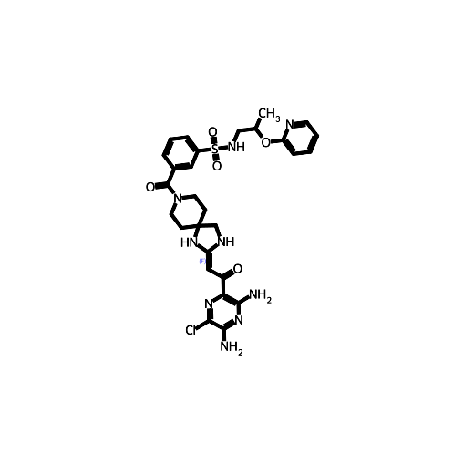 CC(CNS(=O)(=O)c1cccc(C(=O)N2CCC3(CC2)CN/C(=C\C(=O)c2nc(Cl)c(N)nc2N)N3)c1)Oc1ccccn1